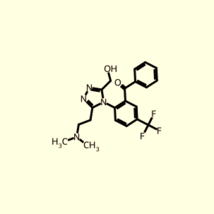 CN(C)CCc1nnc(CO)n1-c1ccc(C(F)(F)F)cc1C(=O)c1ccccc1